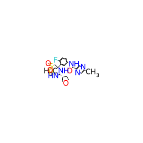 Cc1cnc(C(=O)Nc2ccc(F)c([C@](C)(C[SH](=O)=O)NC(=N)[C@@H]3CCOC3)c2)cn1